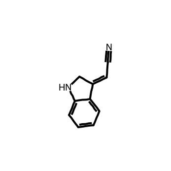 N#CC=C1CNc2ccccc21